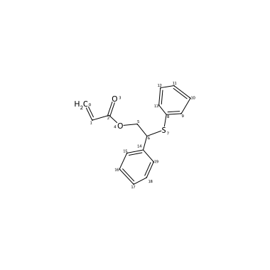 C=CC(=O)OCC(Sc1ccccc1)c1ccccc1